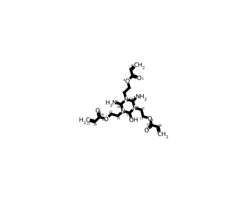 C=CC(=O)OCCN1C(N)N(CCOC(=O)C=C)C(O)N(CCOC(=O)C=C)C1N